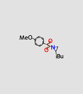 CCC(C)C1CN1S(=O)(=O)c1ccc(OC)cc1